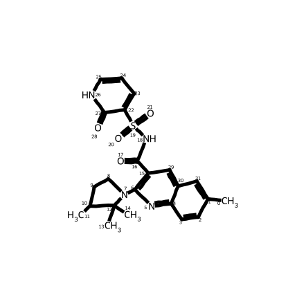 Cc1ccc2nc(N3CCC(C)C3(C)C)c(C(=O)NS(=O)(=O)c3ccc[nH]c3=O)cc2c1